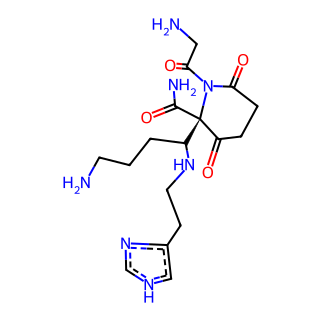 NCCCC(NCCc1c[nH]cn1)[C@]1(C(N)=O)C(=O)CCC(=O)N1C(=O)CN